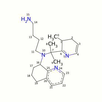 CC1CC=CN=C1C(C)(C)N(CCCCN)C1CCCc2cccnc21